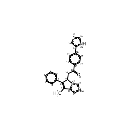 CC1=C(c2ccccc2)C(CC(=O)c2ccc(-c3cnc[nH]3)cc2)n2cncc21